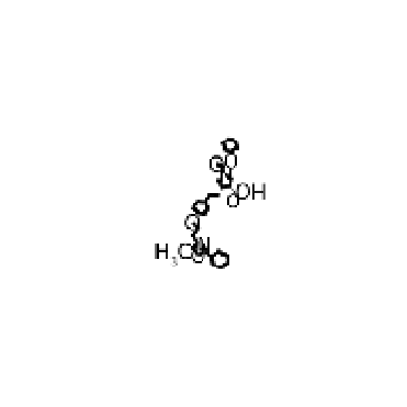 Cc1oc(-c2ccccc2)nc1CCOc1ccc(CC[C@@H]2CN(C(=O)Oc3ccccc3)C[C@@H]2C(=O)O)cc1